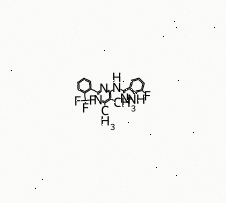 Cc1nc(-c2ccccc2C(F)(F)F)nc(Nc2n[nH]c3c(F)cccc23)c1C